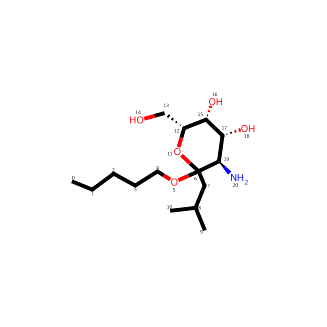 CCCCCOC1(CC(C)C)O[C@H](CO)[C@H](O)[C@H](O)[C@H]1N